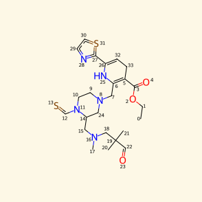 CCOC(=O)C1=C(CN2CCN(C=S)C(CN(C)CC(C)(C)C=O)C2)NC(c2nccs2)=CC1